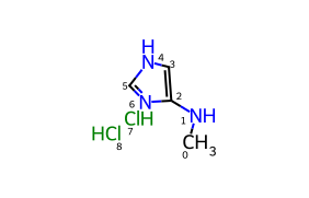 CNc1c[nH]cn1.Cl.Cl